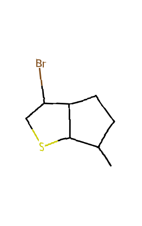 CC1CCC2C(Br)CSC12